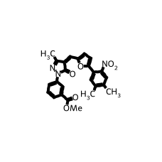 COC(=O)c1cccc(N2N=C(C)C(=Cc3ccc(-c4cc(C)c(C)cc4[N+](=O)[O-])o3)C2=O)c1